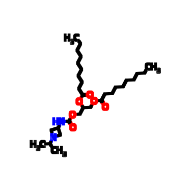 CCCCCCCCCC(=O)OCC(COC(=O)NC1CN(C(C)C)C1)OC(=O)CCCCCCCCC